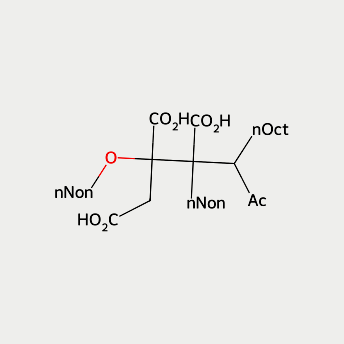 CCCCCCCCCOC(CC(=O)O)(C(=O)O)C(CCCCCCCCC)(C(=O)O)C(CCCCCCCC)C(C)=O